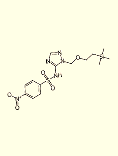 C[Si](C)(C)CCOCn1ncnc1NS(=O)(=O)c1ccc([N+](=O)[O-])cc1